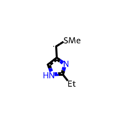 CCc1nc([CH]SC)c[nH]1